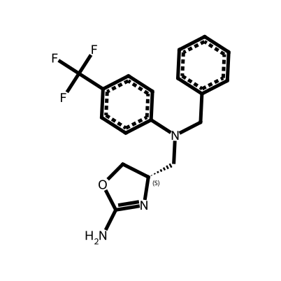 NC1=N[C@@H](CN(Cc2ccccc2)c2ccc(C(F)(F)F)cc2)CO1